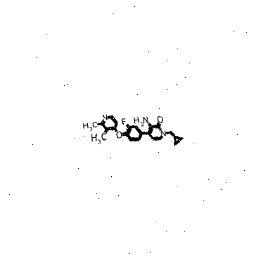 Cc1nccc(Oc2ccc(-c3ccn(CC4CC4)c(=O)c3N)cc2F)c1C